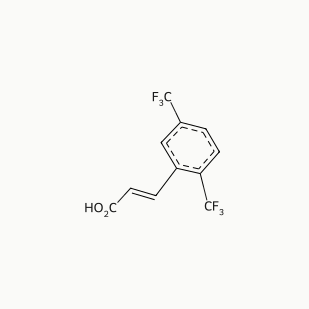 O=C(O)C=Cc1cc(C(F)(F)F)ccc1C(F)(F)F